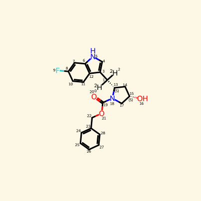 [2H]C([2H])(c1c[nH]c2cc(F)ccc12)[C@@H]1C[C@H](O)CN1C(=O)OCc1ccccc1